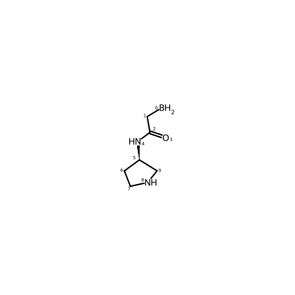 BCC(=O)N[C@@H]1CCNC1